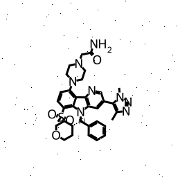 Cc1nnn(C)c1-c1cnc2c3c(N4CCN(CC(N)=O)CC4)ccc(S(C)(=O)=O)c3n([C@H](c3ccccc3)C3CCOCC3)c2c1